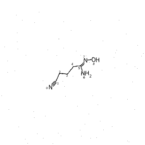 N#CCCC/C(N)=N/O